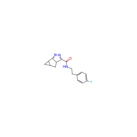 O=C(NCCc1ccc(F)cc1)C1=NN=C2C1CC1CC21